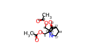 CC(=O)OCC1(COC(C)=O)C(=O)C2CCN1CC2